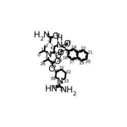 CC(C)N(C(=O)[C@H](CC(N)=O)NS(=O)(=O)c1ccc2ccccc2c1)C(C)C(=O)O[C@H]1CCCN(C(=N)N)C1